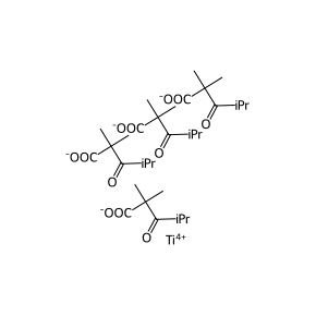 CC(C)C(=O)C(C)(C)C(=O)[O-].CC(C)C(=O)C(C)(C)C(=O)[O-].CC(C)C(=O)C(C)(C)C(=O)[O-].CC(C)C(=O)C(C)(C)C(=O)[O-].[Ti+4]